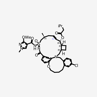 COc1nn(C)cc1C(=O)NS1(=O)=NC(=O)c2ccc3c(c2)N(Cc2ccc(Cl)cc2CCCCO3)C[C@@H]2CC[C@H]2[C@@H](OC(=O)CC(C)C)/C=C/C[C@H](C)C1